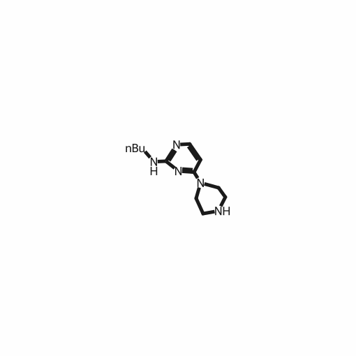 CCCCNc1nccc(N2CCNCC2)n1